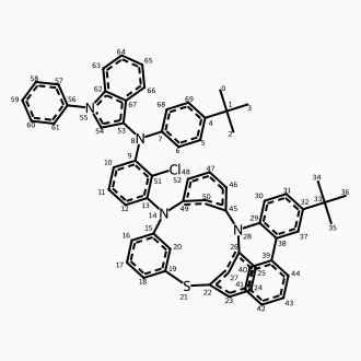 CC(C)(C)c1ccc(N(c2cccc(N3c4cccc(c4)Sc4cccc(c4)N(c4ccc(C(C)(C)C)cc4-c4ccccc4)c4cccc3c4)c2Cl)c2cn(-c3ccccc3)c3ccccc23)cc1